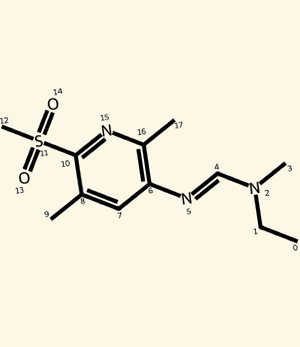 CCN(C)/C=N/c1cc(C)c(S(C)(=O)=O)nc1C